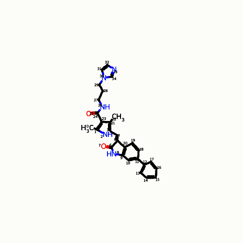 Cc1[nH]c(C=C2C(=O)Nc3cc(-c4ccccc4)ccc32)c(C)c1C(=O)NCCCn1ccnc1